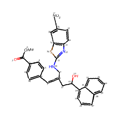 COC(=O)c1ccc(C=C(CNc2nc3ccc([N+](=O)[O-])cc3s2)CC(O)c2cccc3ccccc23)cc1